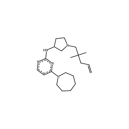 C=CCC(C)(C)CN1CCC(Nc2nccc(N3CCCCCC3)n2)C1